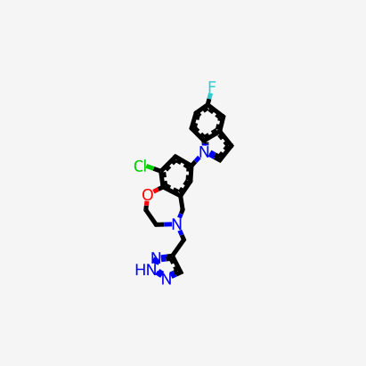 Fc1ccc2c(ccn2-c2cc(Cl)c3c(c2)CN(Cc2cn[nH]n2)CCO3)c1